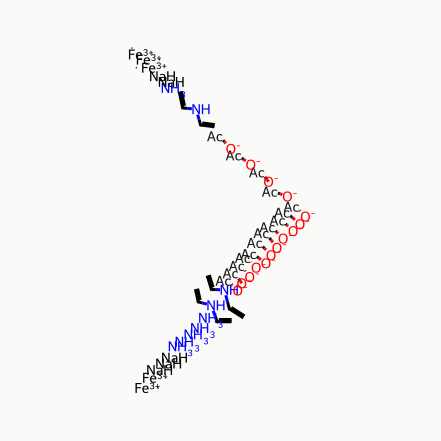 C=CNC=C.C=CNC=C.C=CNC=C.CC(=O)[O-].CC(=O)[O-].CC(=O)[O-].CC(=O)[O-].CC(=O)[O-].CC(=O)[O-].CC(=O)[O-].CC(=O)[O-].CC(=O)[O-].CC(=O)[O-].CC(=O)[O-].CC(=O)[O-].CC(=O)[O-].CC(=O)[O-].CC(=O)[O-].N.N.N.N.N.N.[Fe+3].[Fe+3].[Fe+3].[Fe+3].[Fe+3].[NaH].[NaH].[NaH].[NaH].[NaH]